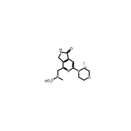 C[C@@H]1COCCN1c1cc2c(c(CN(C)C(=O)O)n1)CNC2=O